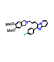 COc1cc2c(cc1OC)CN(C/C=C/c1c(-c3ccc(F)cc3)nc3ccccn13)C2